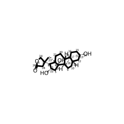 CC1([C@H]2[C@@H](O)C[C@]3(O)[C@@H]4CC[C@@H]5C[C@@H](O)CC[C@]5(C)[C@H]4CC[C@]23C)COC(=O)C1